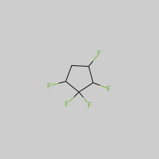 FC1CC(F)C(F)(F)C1F